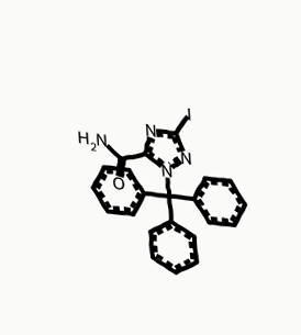 NC(=O)c1nc(I)nn1C(c1ccccc1)(c1ccccc1)c1ccccc1